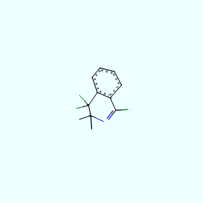 CC1(C)N=C(Br)c2ccccc2C1(Br)Br